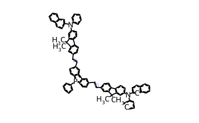 CC1(C)c2cc(/C=C/c3ccc4c(c3)c3cc(/C=C/c5ccc6c(c5)C(C)(C)c5cc(N(c7ccccc7)c7ccc8ccccc8c7)ccc5-6)ccc3p4-c3ccccc3)ccc2-c2ccc(N(c3ccccc3)c3ccc4ccccc4c3)cc21